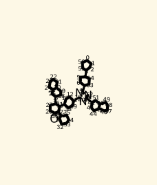 c1ccc(-c2ccc(-c3nc(-c4ccc(-c5c(-c6ccc7ccccc7c6)ccc6oc7ccccc7c56)cc4)nc(-c4ccc5ccccc5c4)n3)cc2)cc1